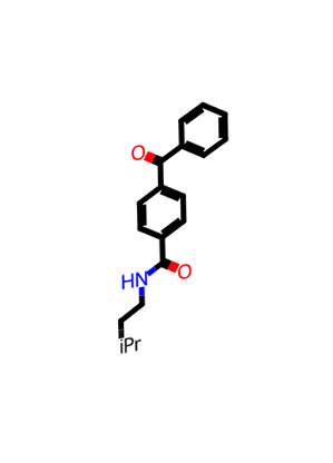 CC(C)CCNC(=O)c1ccc(C(=O)c2ccccc2)cc1